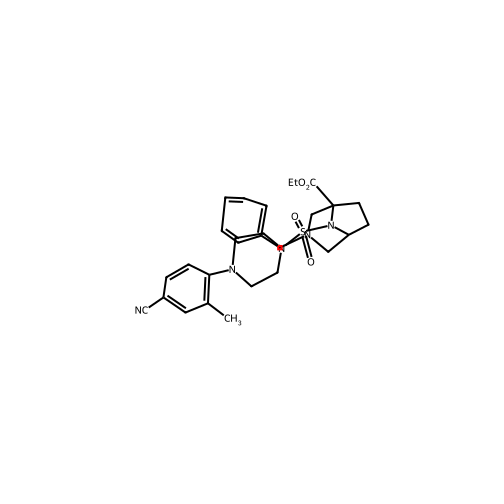 CCOC(=O)C12CCC(CN(Cc3ccccc3)C1)N2S(=O)(=O)N1CCN(c2ccc(C#N)cc2C)CC1